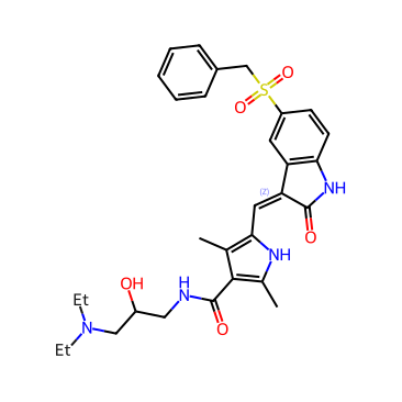 CCN(CC)CC(O)CNC(=O)c1c(C)[nH]c(/C=C2\C(=O)Nc3ccc(S(=O)(=O)Cc4ccccc4)cc32)c1C